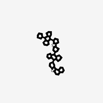 c1ccc(-c2c3ccccc3c(-c3cccc4c3sc3cc(-c5c6ccccc6c(-c6ccc7oc8ccc9ccccc9c8c7c6)c6ccccc56)ccc34)c3ccccc23)cc1